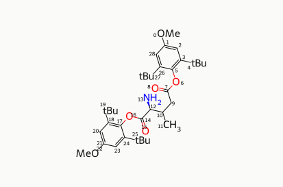 COc1cc(C(C)(C)C)c(OC(=O)CC(C)[C@H](N)C(=O)Oc2c(C(C)(C)C)cc(OC)cc2C(C)(C)C)c(C(C)(C)C)c1